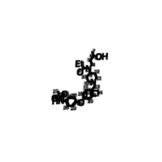 CCC(=O)N(CCC(C)O)C1CCN(Cc2ccc(Oc3ccc(NS(C)(=O)=O)cc3)cc2)CC1.Cl